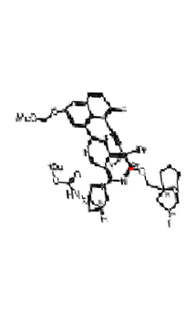 COCOc1cc(-c2ncc3c(N4C[C@@H]5C[C@@]5(NC(=O)OC(C)(C)C)C4)nc(OC[C@@]45CCCN4C[C@H](F)C5)nc3c2F)c2c(C#C[Si](C(C)C)(C(C)C)C(C)C)c(F)ccc2c1